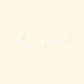 C=C(C)CNC(=S)NNC(=S)NC